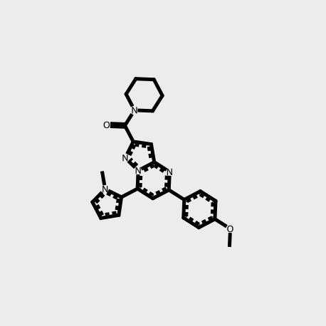 COc1ccc(-c2cc(-c3cccn3C)n3nc(C(=O)N4CCCCC4)cc3n2)cc1